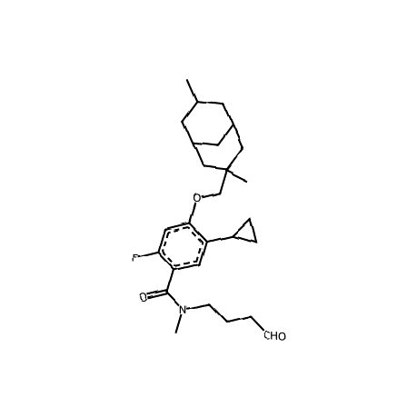 CC1CC2CC(C1)CC(C)(COc1cc(F)c(C(=O)N(C)CCCC=O)cc1C1CC1)C2